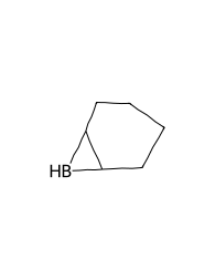 B1C2CCCCC12